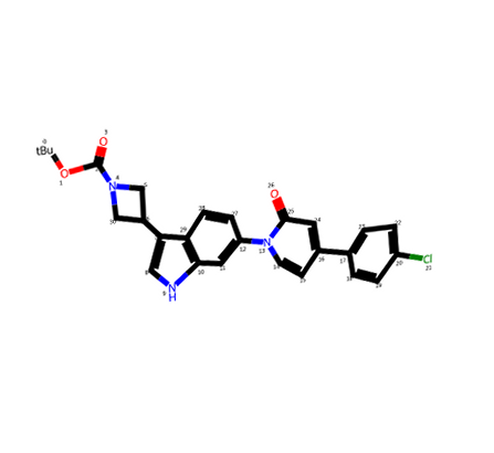 CC(C)(C)OC(=O)N1CC(c2c[nH]c3cc(-n4ccc(-c5ccc(Cl)cc5)cc4=O)ccc23)C1